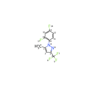 Cc1cc(C(F)(F)F)nn1-c1ccc(F)cc1F